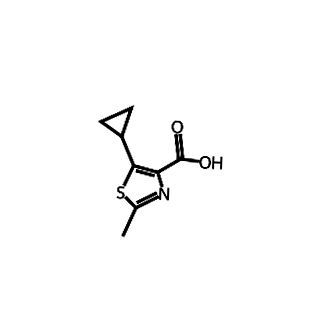 Cc1nc(C(=O)O)c(C2CC2)s1